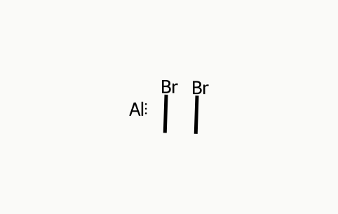 CBr.CBr.[Al]